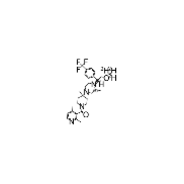 [2H]C([2H])([2H])OC[C@@]([2H])(c1ccc(C(F)(F)F)cc1)N1CCN(C2(C)CCN(C(=O)c3c(C)ccnc3C)CC2)C[C@@H]1C